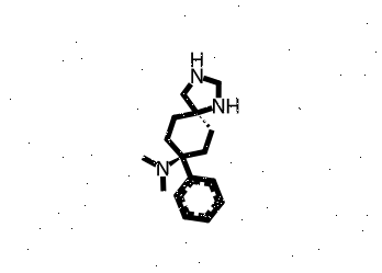 CN(C)[C@]1(c2ccccc2)CC[C@]2(CC1)CNCN2